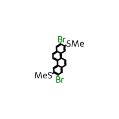 CSc1cc2c(ccc3c4cc(SC)c(Br)cc4ccc23)cc1Br